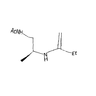 C=C(CC)N[C@@H](C)CNC(C)=O